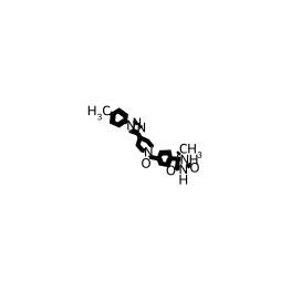 CC[C@]1(c2ccc(C(=O)N3CCC(c4cn(-c5ccc(C)cc5)nn4)CC3)cc2)NC(=O)NC1=O